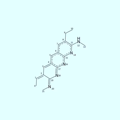 C/C=C1/C=c2cc3cc(CC)c(NC)nc3nc2=N/C1=N/C